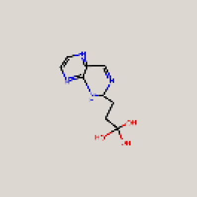 OC(O)(O)CCC1N=Cc2nccnc2N1